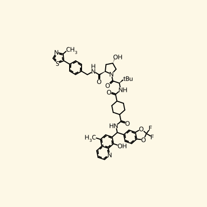 Cc1ncsc1-c1ccc(CNC(=O)[C@H]2C[C@H](O)CN2C(=O)[C@H](NC(=O)C2CCC(C(=O)NC(c3ccc4c(c3)OC(F)(F)O4)c3cc(C)c4cccnc4c3O)CC2)C(C)(C)C)cc1